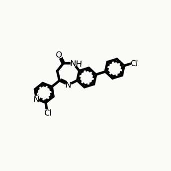 O=C1CC(c2ccnc(Cl)c2)=Nc2ccc(-c3ccc(Cl)cc3)cc2N1